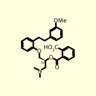 COc1cccc(CCc2ccccc2OC[C@H](CN(C)C)OC(=O)c2ccccc2C(=O)O)c1